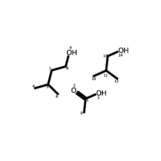 CC(=O)O.CC(C)CCO.CC(C)CO